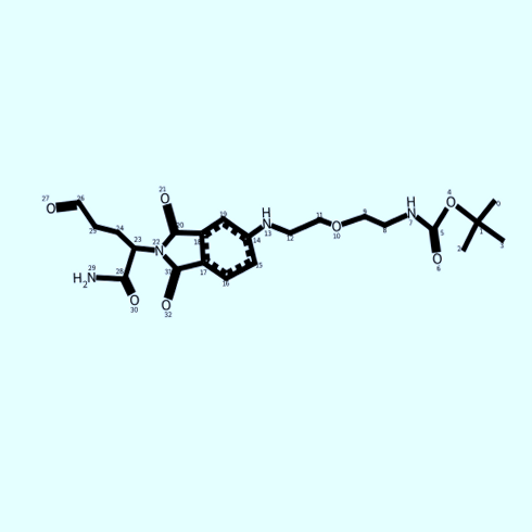 CC(C)(C)OC(=O)NCCOCCNc1ccc2c(c1)C(=O)N(C(CCC=O)C(N)=O)C2=O